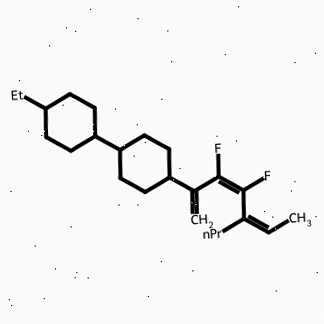 C=C(/C(F)=C(F)\C(=C/C)CCC)C1CCC(C2CCC(CC)CC2)CC1